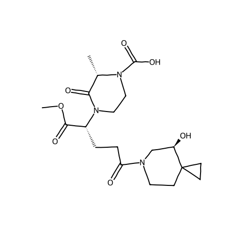 COC(=O)[C@@H](CCC(=O)N1CCC2(CC2)[C@H](O)C1)N1CCN(C(=O)O)[C@@H](C)C1=O